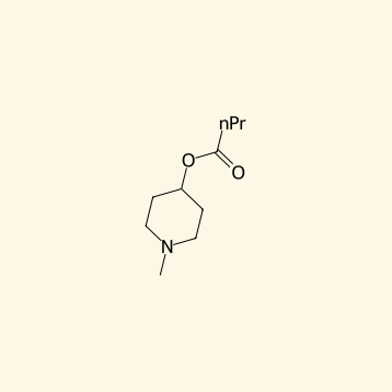 CCCC(=O)OC1CCN(C)CC1